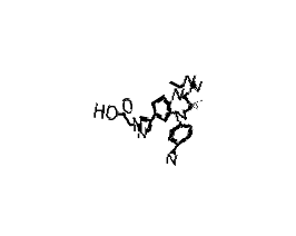 Cc1nnc2n1-c1ccc(-c3cnn(CC(=O)O)c3)cc1N(c1ccc(C#N)cc1)C[C@H]2C